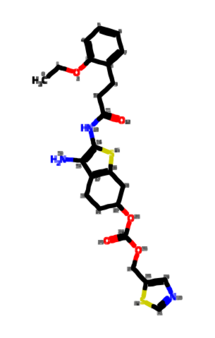 CCOc1ccccc1CCC(=O)Nc1sc2c(c1N)CCC(OC(=O)OCc1cncs1)C2